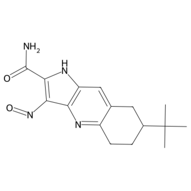 CC(C)(C)C1CCc2nc3c(N=O)c(C(N)=O)[nH]c3cc2C1